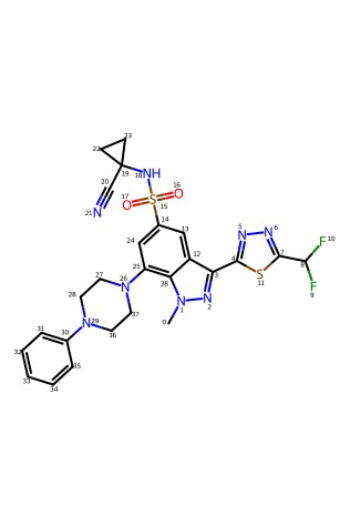 Cn1nc(-c2nnc(C(F)F)s2)c2cc(S(=O)(=O)NC3(C#N)CC3)cc(N3CCN(c4ccccc4)CC3)c21